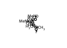 CNC(=O)c1cccc(-c2ncc(NC(=O)C(C)NC)c(=O)n2Cc2cc(-n3cc(C)c4cc(F)ccc43)nc(C)n2)c1C